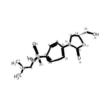 CN(C)CNS(=O)(=O)c1ccc(N2C[C@H](CO)OC2=O)cc1